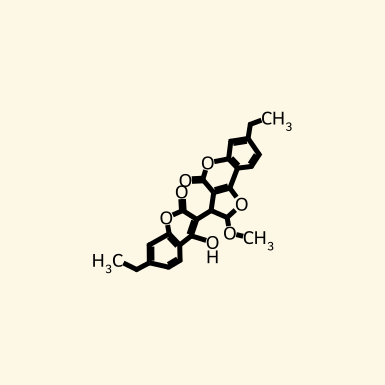 CCc1ccc2c(O)c(C3c4c(c5ccc(CC)cc5oc4=O)OC3OC)c(=O)oc2c1